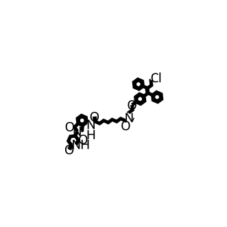 CN(CCOc1ccc(C(=C(CCCl)c2ccccc2)c2ccccc2)cc1)C(=O)CCCCCCC(=O)Nc1cccc2c1CN(C1CCC(=O)NC1=O)C2=O